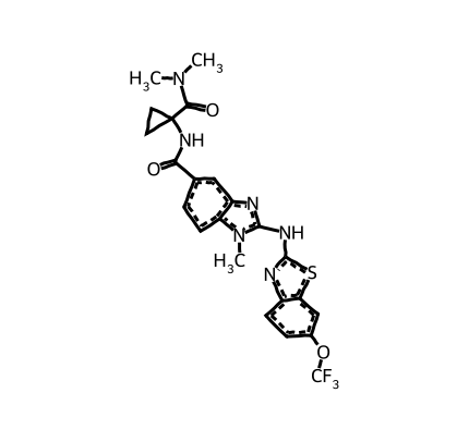 CN(C)C(=O)C1(NC(=O)c2ccc3c(c2)nc(Nc2nc4ccc(OC(F)(F)F)cc4s2)n3C)CC1